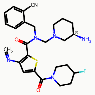 C=Nc1cc(C(=O)N2CCC(F)CC2)sc1C(=O)N(Cc1ccccc1C#N)CN1CCC[C@@H](N)C1